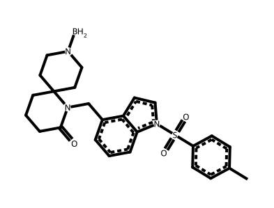 BN1CCC2(CCCC(=O)N2Cc2cccc3c2ccn3S(=O)(=O)c2ccc(C)cc2)CC1